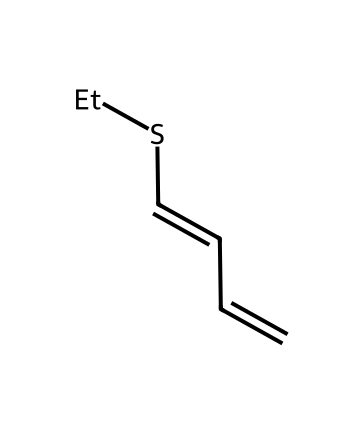 C=CC=CSCC